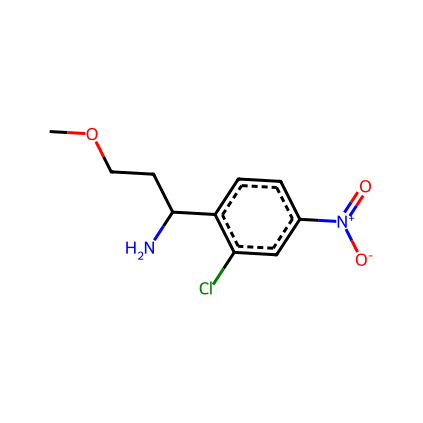 COCCC(N)c1ccc([N+](=O)[O-])cc1Cl